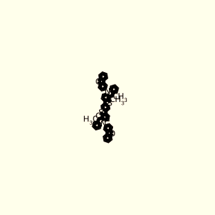 CC1(C)c2ccccc2N(c2ccc3oc4ccccc4c3c2)c2ccc3c(sc4cc5c(cc43)sc3c4c(ccc35)N(c3ccc5oc6ccccc6c5c3)c3ccccc3C4(C)C)c21